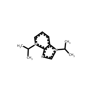 CC(C)n1cnc2c1ccc[n+]2C(C)C